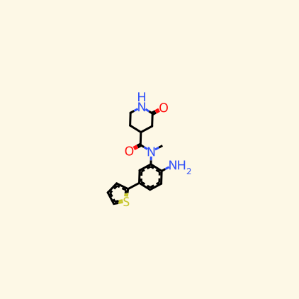 CN(C(=O)C1CCNC(=O)C1)c1cc(-c2cccs2)ccc1N